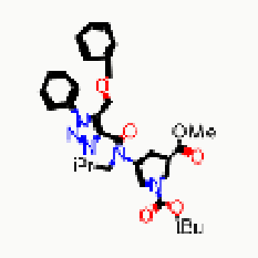 COC(=O)[C@@H]1C[C@H](N(CC(C)C)C(=O)c2nnn(-c3ccccc3)c2COCc2ccccc2)CN(C(=O)OC(C)(C)C)C1